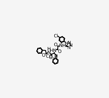 O=C(Nc1cc(Cl)ccc1-n1cnnn1)C(=O)NC(Cc1ccccc1)C(=O)NC1(C(=O)O)Cc2ccccc2O1